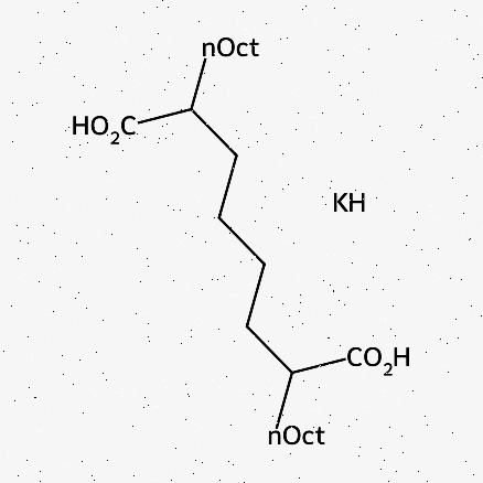 CCCCCCCCC(CCCCC(CCCCCCCC)C(=O)O)C(=O)O.[KH]